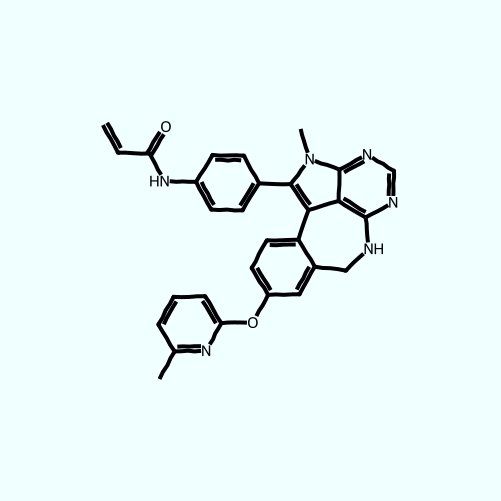 C=CC(=O)Nc1ccc(-c2c3c4c(ncnc4n2C)NCc2cc(Oc4cccc(C)n4)ccc2-3)cc1